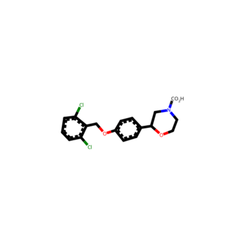 O=C(O)N1CCOC(c2ccc(OCc3c(Cl)cccc3Cl)cc2)C1